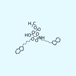 CCOC(=O)CO[C@@H](C(=O)NCCCCCc1ccc2ccccc2c1)[C@@H](OCCCCCc1ccc2ccccc2c1)C(=O)O